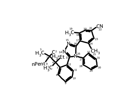 CCCCCC(C)(C)C(C)(CC)c1ccccc1-c1nnc(-c2c(C)cc(C#N)cc2C)n1-c1ccccc1